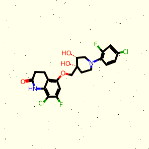 O=C1CCc2c(OC[C@]3(O)CCN(c4ccc(Cl)cc4F)C[C@H]3O)cc(F)c(Cl)c2N1